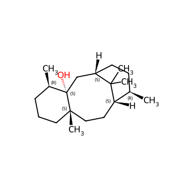 C[C@@H]1CC[C@H]2C[C@]3(O)[C@H](C)CCC[C@@]3(C)CC[C@@H]1C2(C)C